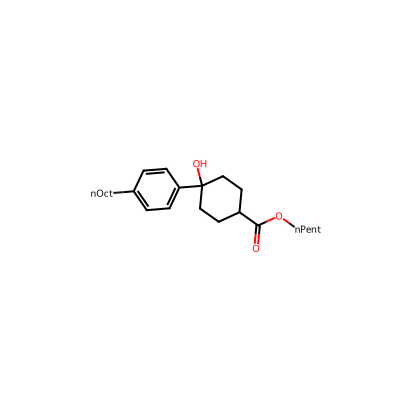 CCCCCCCCc1ccc(C2(O)CCC(C(=O)OCCCCC)CC2)cc1